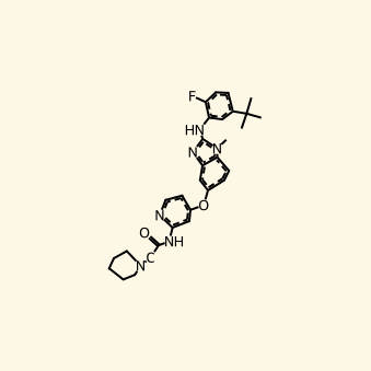 Cn1c(Nc2cc(C(C)(C)C)ccc2F)nc2cc(Oc3ccnc(NC(=O)CN4CCCCC4)c3)ccc21